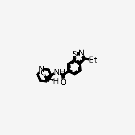 CCc1nsc2cc(C(=O)N[C@H]3CN4CCC3CC4)ccc12